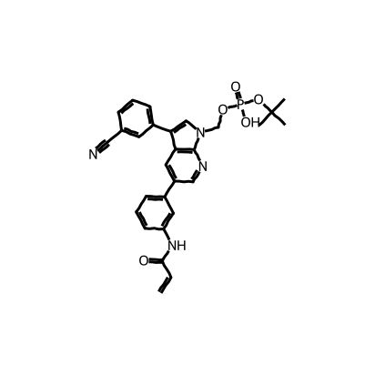 C=CC(=O)Nc1cccc(-c2cnc3c(c2)c(-c2cccc(C#N)c2)cn3COP(=O)(O)OC(C)(C)C)c1